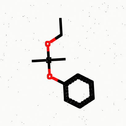 CCO[Si](C)(C)Oc1ccccc1